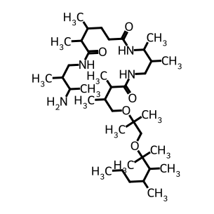 CCCC(C)C(C)C(C)(C)OCC(C)(C)OCC(C)C(C)C(=O)NCC(C)C(C)NC(=O)CCC(C)C(C)C(=O)NCC(C)C(C)N